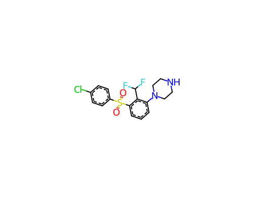 O=S(=O)(c1ccc(Cl)cc1)c1cccc(N2CCNCC2)c1C(F)F